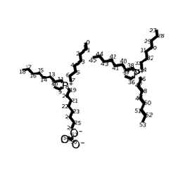 CCCCCCCC[P+](CC)(CCCCCCCC)CCCCCCCC.CCCCCCCC[P+](CC)(CCCCCCCC)CCCCCCCC.O=C([O-])[O-]